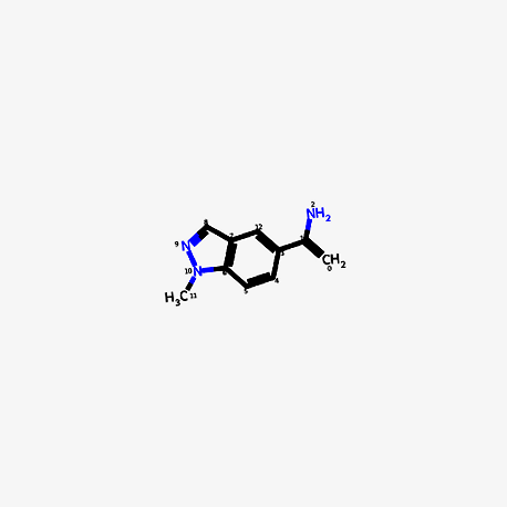 C=C(N)c1ccc2c(cnn2C)c1